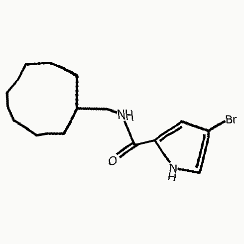 O=C(NC1CCCCCCC1)c1cc(Br)c[nH]1